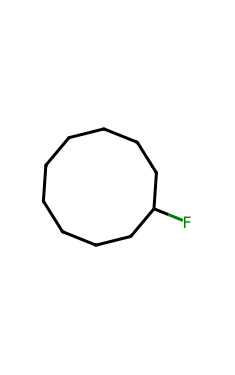 FC1CCCCCCCCC1